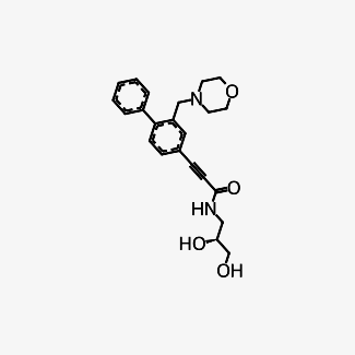 O=C(C#Cc1ccc(-c2ccccc2)c(CN2CCOCC2)c1)NC[C@H](O)CO